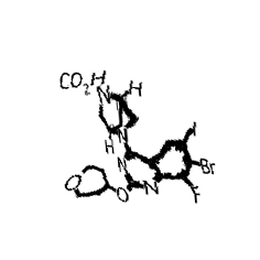 O=C(O)N1C[C@@H]2C[C@H]1CN2c1nc(OC2CCOCC2)nc2c(F)c(Br)c(I)cc12